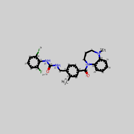 CCN1CCCN(C(=O)c2ccc(CNC(=O)Nc3c(F)cccc3F)c(C)c2)c2ccccc21